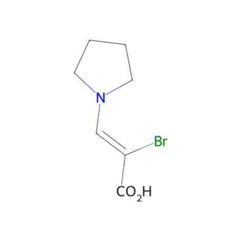 O=C(O)/C(Br)=C/N1CCCC1